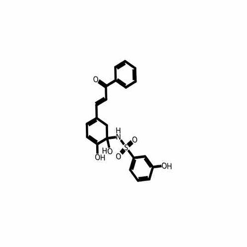 O=C(C=CC1=CC=C(O)C(O)(NS(=O)(=O)c2cccc(O)c2)C1)c1ccccc1